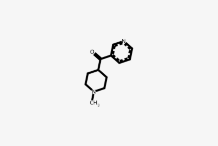 CN1CCC(C(=O)c2cccnc2)CC1